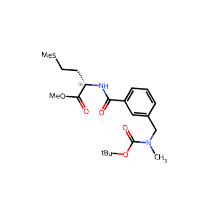 COC(=O)[C@H](CCSC)NC(=O)c1cccc(CN(C)C(=O)OC(C)(C)C)c1